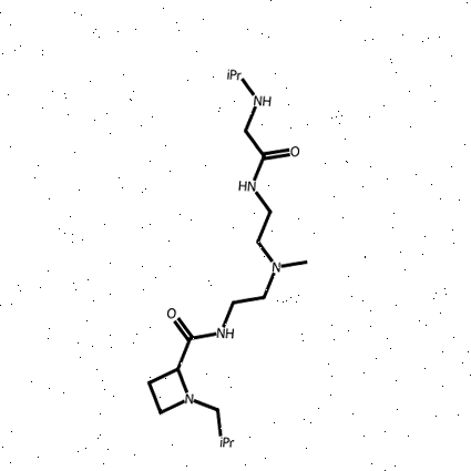 CC(C)CN1CCC1C(=O)NCCN(C)CCNC(=O)CNC(C)C